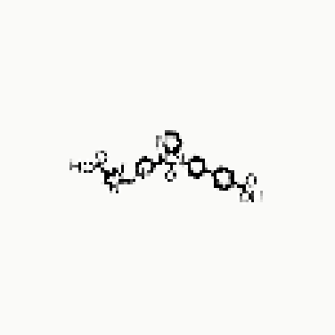 Cn1c(C(=O)O)cnc1CN1CCC(n2c(=O)n(-c3ccc(-c4ccc(C(=O)O)cc4)cc3)c3cccnc32)C1